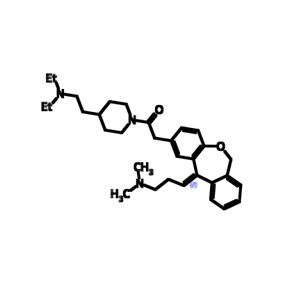 CCN(CC)CCC1CCN(C(=O)Cc2ccc3c(c2)/C(=C\CCN(C)C)c2ccccc2CO3)CC1